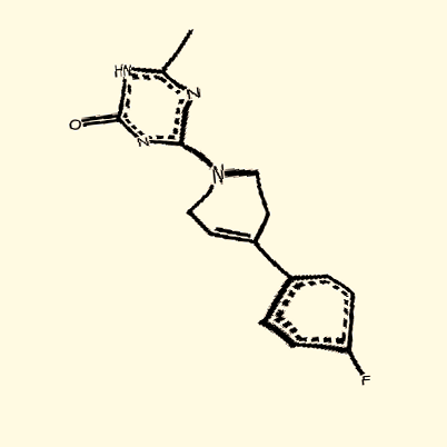 Cc1nc(N2CC=C(c3ccc(F)cc3)CC2)nc(=O)[nH]1